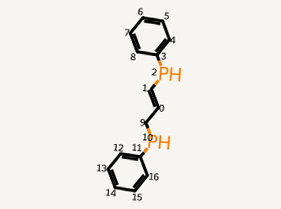 C(=CPc1ccccc1)CPc1ccccc1